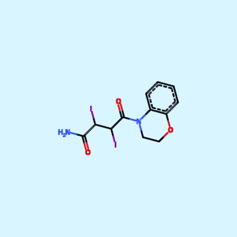 NC(=O)C(I)C(I)C(=O)N1CCOc2ccccc21